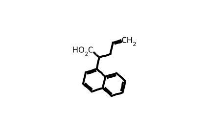 C=CCC(C(=O)O)c1cccc2ccccc12